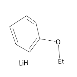 CCOc1ccccc1.[LiH]